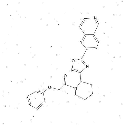 O=C(COc1ccccc1)N1CCCCC1c1noc(-c2ccc3cnccc3n2)n1